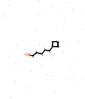 [O]CCCCCC1CCC1